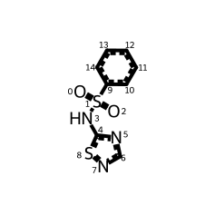 O=S(=O)(Nc1ncns1)c1ccccc1